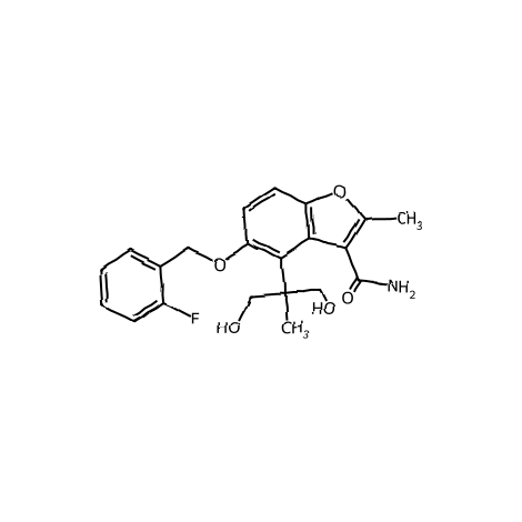 Cc1oc2ccc(OCc3ccccc3F)c(C(C)(CO)CO)c2c1C(N)=O